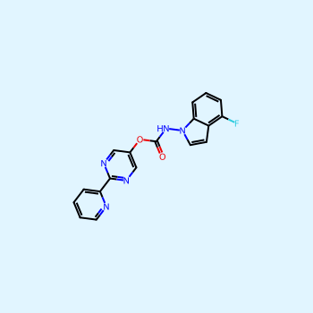 O=C(Nn1ccc2c(F)cccc21)Oc1cnc(-c2ccccn2)nc1